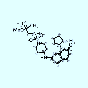 COC(C)(C)CNS(=O)(=O)N1CCC(Nc2ncc3ccc(=O)n([C@@H]4CCC[C@@H]4C)c3n2)CC1